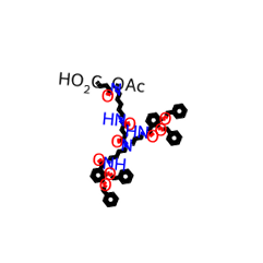 CC(=O)ON(CCCCCNC(=O)CCC(=O)N(CCCCNC(=O)c1cccc(OCc2ccccc2)c1OCc1ccccc1)CCCNC(=O)c1cccc(OCc2ccccc2)c1OCc1ccccc1)C(=O)CCC(=O)O